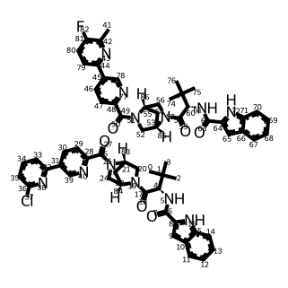 CC(C)(C)[C@H](NC(=O)c1cc2ccccc2[nH]1)C(=O)N1C[C@@H]2C[C@H]1CN2C(=O)c1ccc(-c2cccc(Cl)n2)cn1.Cc1nc(-c2ccc(C(=O)N3C[C@@H]4C[C@H]3CN4C(=O)[C@@H](NC(=O)c3cc4ccccc4[nH]3)C(C)(C)C)nc2)ccc1F